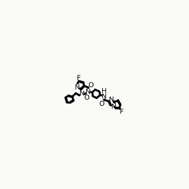 O=C(NC1CCC(n2c(=O)c3cc(F)cnc3n(CCc3ccccc3)c2=O)CC1)c1cn2cc(F)ccc2n1